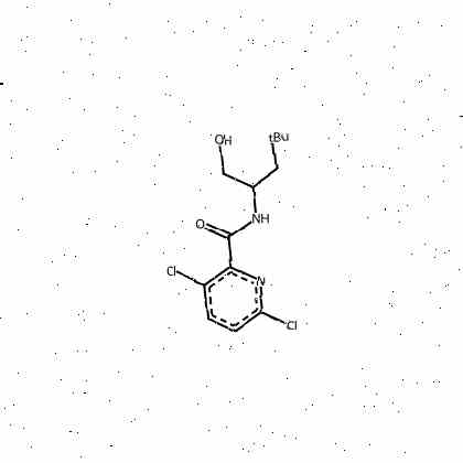 CC(C)(C)CC(CO)NC(=O)c1nc(Cl)ccc1Cl